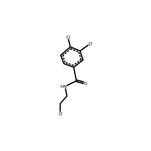 O=C(NCCCl)c1ccc(Cl)c(Cl)c1